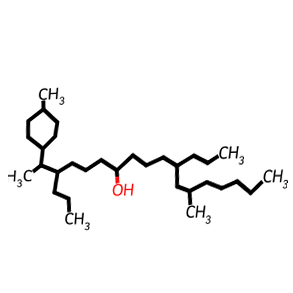 CCCCCC(C)CC(CCC)CCCC(O)CCCC(CCC)C(C)C1CCC(C)CC1